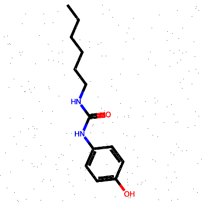 CCCCCCNC(=O)Nc1ccc(O)cc1